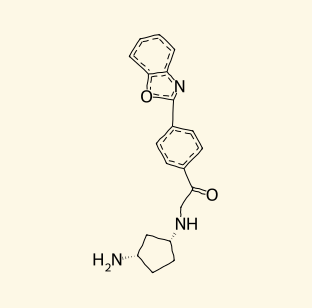 N[C@H]1CC[C@@H](NCC(=O)c2ccc(-c3nc4ccccc4o3)cc2)C1